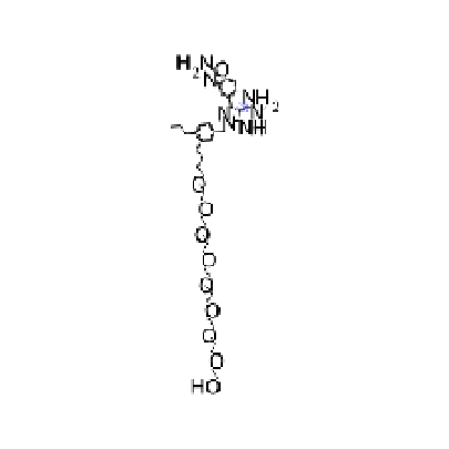 CCCc1ccc(CN2N=C(c3ccc4oc(N)nc4c3)/C(=C(\N)NC)C2=N)cc1CCCCOCCOCCOCCOCCOCCOCCOCCOCCO